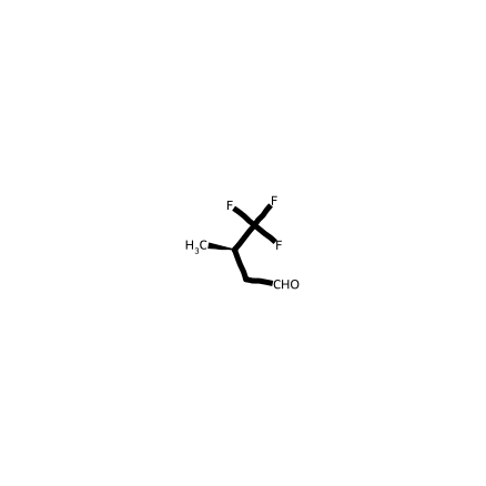 C[C@H](CC=O)C(F)(F)F